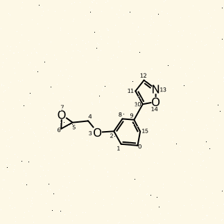 c1cc(OCC2CO2)cc(-c2ccno2)c1